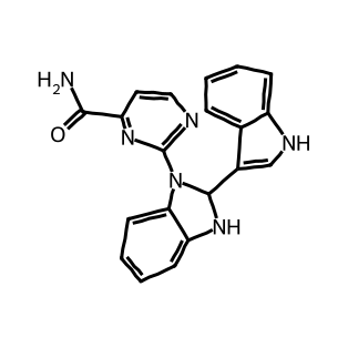 NC(=O)c1ccnc(N2c3ccccc3NC2c2c[nH]c3ccccc23)n1